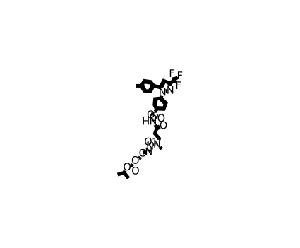 Cc1ccc(-c2cc(C(F)(F)F)nn2-c2ccc(S(=O)(=O)NC(=O)CCN(C)[N+]([O-])=NOCOC(=O)OC(C)C)cc2)cc1